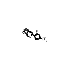 CCCCOc1ccc(-c2ccc(C(F)(F)F)cc2F)nc1